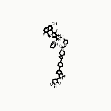 C#Cc1c(F)ccc2cc(O)cc(-c3ncc4c(N5CC6CCC(C5)N6)nc(OC5CCN(CC(=O)N6CCC7(CC6)CC(C6CCC(c8ccc9c(C%10CCC(=O)NC%10=O)nn(C)c9c8)CC6)C7)C5)nc4c3F)c12